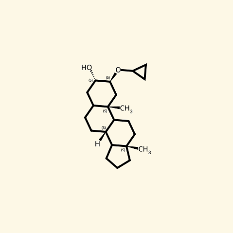 C[C@@]12CCCC1[C@@H]1CCC3C[C@H](O)[C@@H](OC4CC4)C[C@]3(C)C1CC2